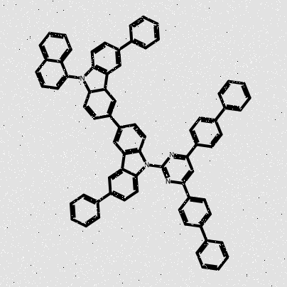 C1=CC2C(C=C1c1ccc3c(c1)c1cc(-c4ccccc4)ccc1n3-c1nc(-c3ccc(-c4ccccc4)cc3)cc(-c3ccc(-c4ccccc4)cc3)n1)c1cc(-c3ccccc3)ccc1N2c1cccc2ccccc12